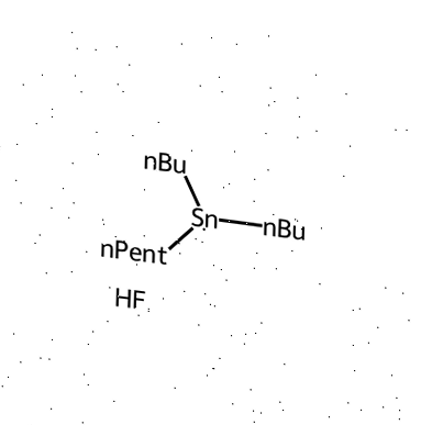 CCCC[CH2][Sn]([CH2]CCC)[CH2]CCC.F